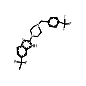 FC(F)(F)c1ccc(CN2CCN(c3nc4ccc(C(F)(F)F)cc4[nH]3)CC2)cc1